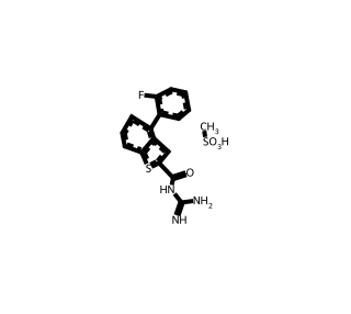 CS(=O)(=O)O.N=C(N)NC(=O)c1cc2c(-c3ccccc3F)cccc2s1